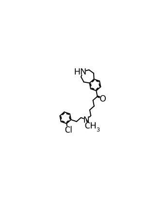 CN(CCCCC(=O)c1ccc2c(c1)CCNCC2)CCc1ccccc1Cl